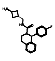 N[C@H]1C[C@H](CNC(=O)N2CCc3ccccc3[C@@H]2c2ccc(F)cc2)C1